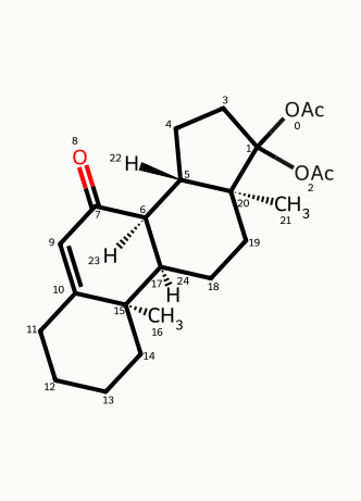 CC(=O)OC1(OC(C)=O)CC[C@H]2[C@@H]3C(=O)C=C4CCCC[C@]4(C)[C@@H]3CC[C@@]21C